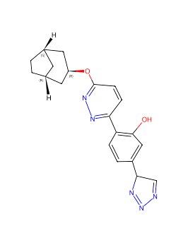 Oc1cc(C2C=NN=N2)ccc1-c1ccc(O[C@H]2C[C@@H]3CC[C@@H](C3)C2)nn1